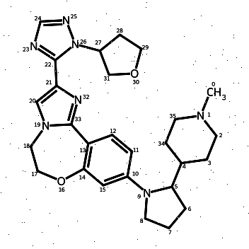 CN1CCC(C2CCCN2c2ccc3c(c2)OCCn2cc(-c4ncnn4C4CCOC4)nc2-3)CC1